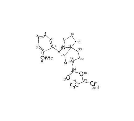 COc1ccccc1CN1CCCC12CCN(C(=O)OC(C(F)(F)F)C(F)(F)F)CC2